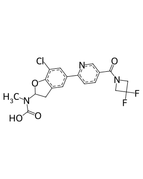 CN(C(=O)O)C1Cc2cc(-c3ccc(C(=O)N4CC(F)(F)C4)cn3)cc(Cl)c2O1